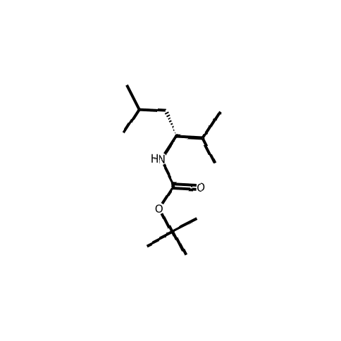 CC(C)C[C@@H](NC(=O)OC(C)(C)C)C(C)C